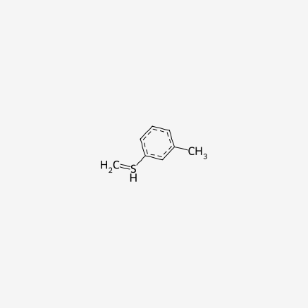 C=[SH]c1cccc(C)c1